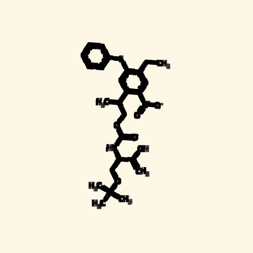 C=C(O)C(COC(C)(C)C)NC(=O)OCC(C)c1cc(Sc2ccccc2)c(CC)cc1[N+](=O)[O-]